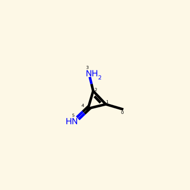 Cc1c(N)c1=N